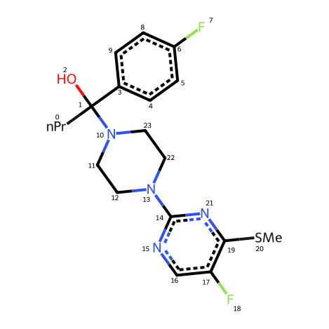 CCCC(O)(c1ccc(F)cc1)N1CCN(c2ncc(F)c(SC)n2)CC1